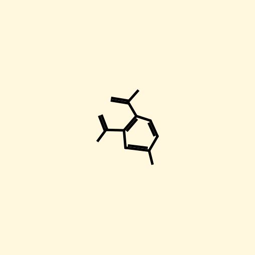 C=C(C)c1ccc(C)cc1C(=C)C